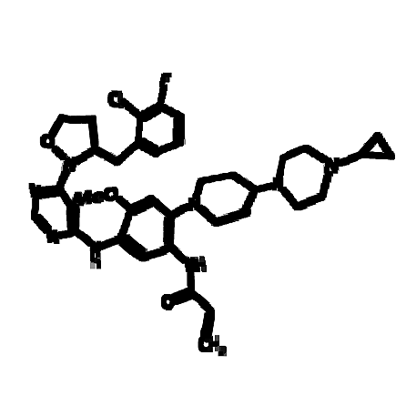 C=CC(=O)Nc1cc(Nc2cc(N3OCCC3Cc3cccc(F)c3Cl)ncn2)c(OC)cc1N1CCC(N2CCN(C3CC3)CC2)CC1